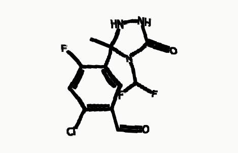 CC1(c2cc(C=O)c(Cl)cc2F)NNC(=O)N1C(F)F